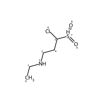 CCNCCC(Cl)[SH](=O)=O